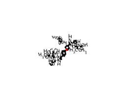 COC(=O)N[C@H](C(=O)N1CC2(C[C@H]1c1nc(-c3ccc(-c4ccc(-c5c[nH]c([C@@H]6CCCN6C(=O)[C@@H](NC(=O)O)C(C)C)n5)cc4)cc3)c[nH]1)OCCO2)C(C)C.O=S(=O)(O)O